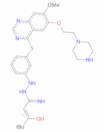 COc1cc2ncnc(Sc3cccc(NNC(=N)/C=C(\O)C(C)(C)C)c3)c2cc1OCCN1CCNCC1